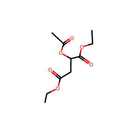 CCOC(=O)CC(OC(C)=O)C(=O)OCC